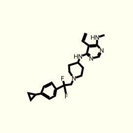 C=Cc1c(NC)ncnc1NC1CCN(CC(F)(F)c2ccc(C3CC3)cc2)CC1